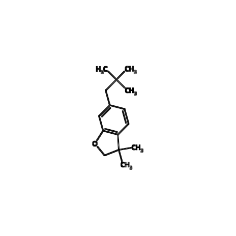 CC(C)(C)Cc1ccc2c(c1)OCC2(C)C